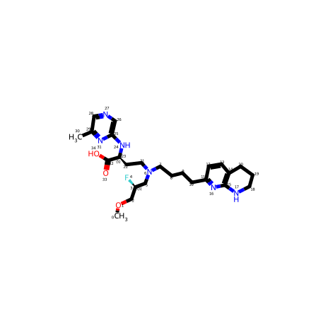 COC[C@@H](F)CN(CCCCc1ccc2c(n1)NCCC2)CC[C@H](Nc1cncc(C)n1)C(=O)O